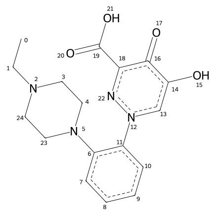 CCN1CCN(c2ccccc2-n2cc(O)c(=O)c(C(=O)O)n2)CC1